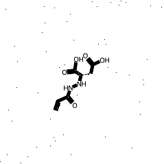 C=CC(=O)NN[C@@H](CC(=O)O)C(=O)O